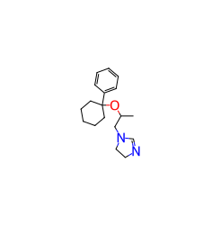 CC(CN1C=NCC1)OC1(c2ccccc2)CCCCC1